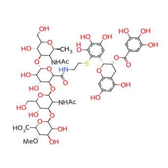 CO[C@@H]1C(C(=O)O)O[C@@H](O[C@@H]2C(NC(C)=O)[C@H](O[C@@H]3C(C(=O)NCCSc4c([C@H]5Oc6cc(O)cc(O)c6C[C@H]5OC(=O)c5cc(O)c(O)c(O)c5)cc(O)c(O)c4O)O[C@@H](O[C@@H]4C(NC(C)=O)[C@H](C)OC(CO)[C@H]4O)C(O)[C@H]3O)OC(CO)[C@H]2O)C(O)[C@H]1O